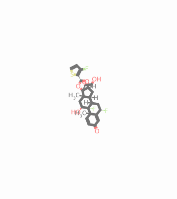 C[C@]12C=CC(=O)C=C1[C@@H](F)C[C@H]1[C@@H]3C[C@H]4O[C@@H](c5sccc5F)O[C@@]4(C(=O)CO)[C@@]3(C)C[C@H](O)[C@@]12F